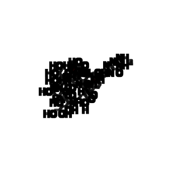 Nc1nc2ncc(CNc3ccc(C(=O)N[C@@H](CCC(=O)N[C@H](C(=O)N[C@@H](CC(=O)O)C(=O)N[C@H](C(=O)N[C@@H](CC(=O)O)C(=O)N[C@H](C(=O)NC(CS)C(=O)O)[C@@H](O)[C@H](O)[C@H](O)CO)[C@@H](O)[C@H](O)[C@H](O)CO)[C@@H](O)[C@H](O)[C@H](O)CO)C(=O)O)cc3)nc2c(=O)[nH]1